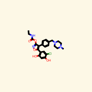 CCNC(=O)Oc1noc(-c2cc(Cl)c(O)cc2O)c1-c1ccc(CN2CCN(C)CC2)cc1